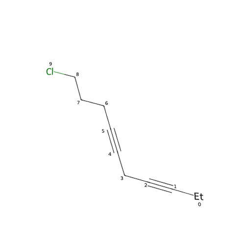 CCC#CCC#CCCCCl